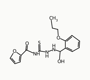 CCCOc1ccccc1C(O)NNC(=S)NC(=O)c1ccco1